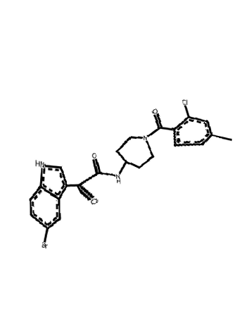 Cc1ccc(C(=O)N2CCC(NC(=O)C(=O)c3c[nH]c4ccc(Br)cc34)CC2)c(Cl)c1